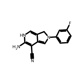 N#CC1=C(N)NC=C2CN(c3cccc(F)c3)C=C21